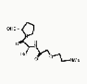 CNCCOCC(=O)N[C@H](C(=O)N1CCC[C@H]1C=O)C(C)(C)C